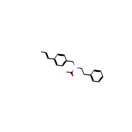 CCCCC(=O)N(CCc1ccccc1)Cc1ccc(C=CC(=O)O)cc1